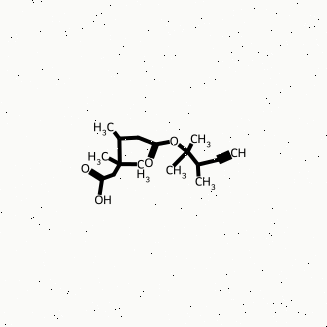 C#CC(C)C(C)(C)OC(=O)CC(C)C(C)(C)CC(=O)O